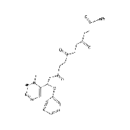 CCCC(=O)CCC(=O)CCC(=O)CCC(=O)CC(Oc1ccccc1)C1=CN=NNN1C